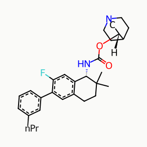 CCCc1cccc(-c2cc3c(cc2F)[C@H](NC(=O)O[C@@H]2CN4CCC2CC4)C(C)(C)CC3)c1